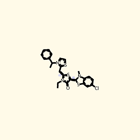 CCn1c(=O)/c(=C2\Sc3cc(Cl)ccc3N2C)s/c1=C\c1scc[n+]1C(C)c1ccccc1